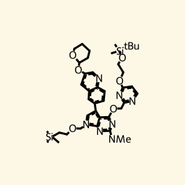 CNc1nc(OCc2nccc(OCCO[Si](C)(C)C(C)(C)C)n2)c2c(-c3ccc4ncc(OC5CCCCO5)cc4c3)cn(COCC[Si](C)(C)C)c2n1